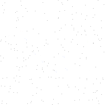 CCCS(=O)(=O)N1CCCC(NC(=O)Nc2cnc3nc(-c4ccc(F)cc4)c(-c4ccc(F)cc4)nc3c2)C1